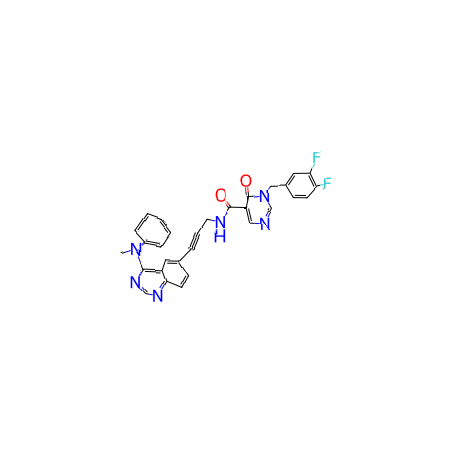 CN(c1ccccc1)c1ncnc2ccc(C#CCNC(=O)c3cncn(Cc4ccc(F)c(F)c4)c3=O)cc12